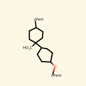 CCCCCOC1CCC(C2(C(=O)O)CCC(CCCCC)CC2)CC1